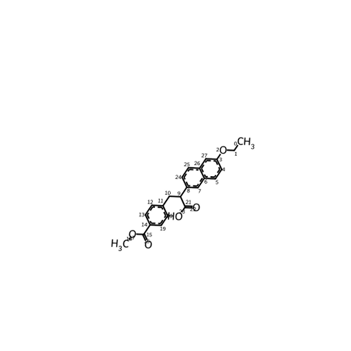 CCOc1ccc2cc(C(Cc3ccc(C(=O)OC)cc3)C(=O)O)ccc2c1